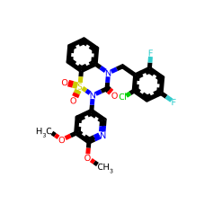 COc1cc(N2C(=O)N(Cc3c(F)cc(F)cc3Cl)c3ccccc3S2(=O)=O)cnc1OC